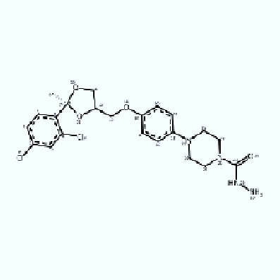 C[C@]1(c2ccc(Cl)cc2Cl)OCC(COc2ccc(N3CCN(C(=O)NN)CC3)cc2)O1